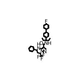 CCC(CC)(NC(=O)c1cnn2c1NC(c1ccccc1)CC2C(F)(F)F)c1ccc(-c2ccc(F)cc2)cc1